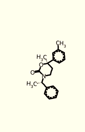 Cc1cccc([C@@]2(C)CCN([C@@H](C)c3ccccc3)C(=O)O2)c1